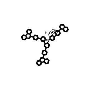 C[Si]1(C)c2cc(-c3cccc4ccccc34)ccc2-c2ccc(-n3c4ccc(-c5ccc(-c6cc7ccccc7c7ccccc67)cc5)cc4c4cc(-c5ccc(-c6cc7ccccc7c7ccccc67)cc5)ccc43)cc21